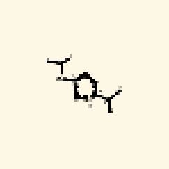 CC(F)Oc1ccc(C(C)C)nc1